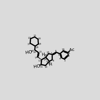 CC(=O)c1cccc(C=C2C[C@H]3C[C@@H](O)[C@@H](C=C[C@H](O)C4CCCCC4)[C@H]3C2)c1